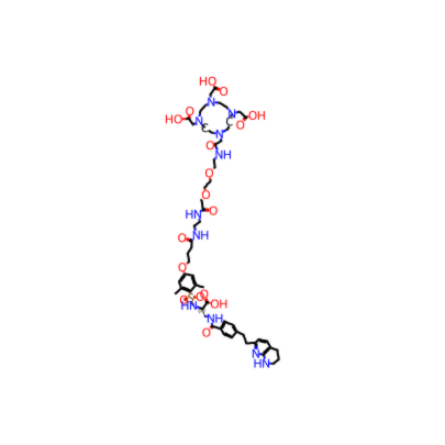 Cc1cc(OCCCC(=O)NCCNC(=O)COCCOCCNC(=O)CN2CCN(CC(=O)O)CCN(CC(=O)O)CCN(CC(=O)O)CC2)cc(C)c1S(=O)(=O)N[C@@H](CNC(=O)c1ccc(CCc2ccc3c(n2)NCCC3)cc1)C(=O)O